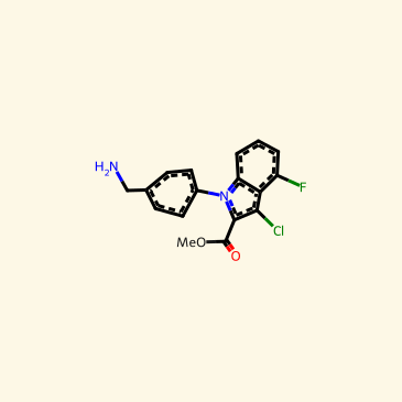 COC(=O)c1c(Cl)c2c(F)cccc2n1-c1ccc(CN)cc1